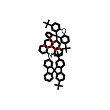 CC(C)(C)c1ccc2c(c1)C1(c3cc(C(C)(C)C)ccc3O2)c2ccccc2-c2c(-c3ccccc3N(c3ccc4c(c3)C3(c5ccccc5-4)c4cc(C(C)(C)C)ccc4-c4ccc(C(C)(C)C)cc43)c3ccccc3-c3ccccc3)cccc21